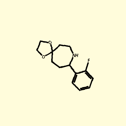 Fc1ccccc1C1CCC2(CCN1)OCCO2